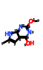 COc1nc(O)c2cc(C)[nH]c2n1